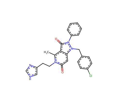 Cc1c2c(=O)n(-c3ccccc3)n(Cc3ccc(Cl)cc3)c2cc(=O)n1CCc1c[nH]cn1